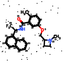 Cc1ccc(OCC2CCN2C)cc1C(=O)N[C@@H](c1cccc2ccccc12)C(F)(F)F